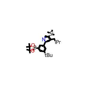 CC(C)Cc1cc(-c2cc(B3OC(C)(C)C(C)(C)O3)cc(C(C)(C)C)c2)ncc1[Si](C)(C)C